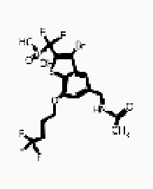 CC(=O)NCc1cc(OCCCC(F)(F)F)c2sc(C(F)(F)P(=O)(O)O)c(Br)c2c1